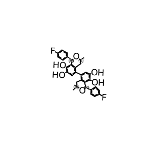 C[C@H]1Cc2c(-c3cc(O)c(O)c4c3C[C@H](C)O[C@@H]4c3ccc(F)cc3)cc(O)c(O)c2[C@@H](c2ccc(F)cc2)O1